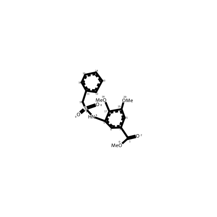 COC(=O)c1cc(NS(=O)(=O)Cc2ccccc2)c(OC)c(OC)c1